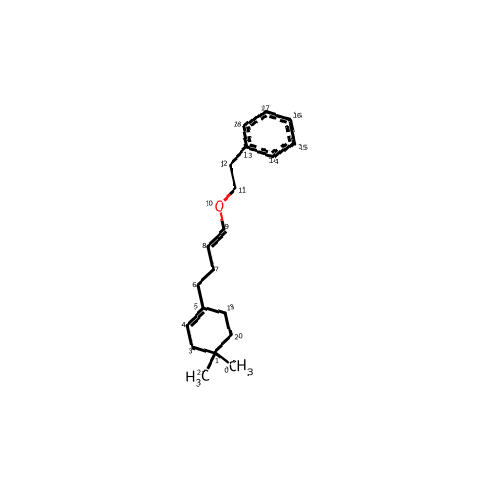 CC1(C)CC=C(CCC=COCCc2ccccc2)CC1